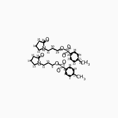 Cc1ccc(S(=O)(=O)OCCCN2CCCC2=O)cc1.Cc1ccc(S(=O)(=O)OCCCN2CCCC2=O)cc1